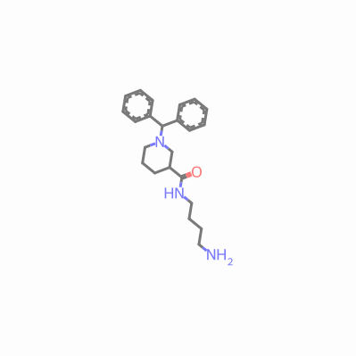 NCCCCNC(=O)C1CCCN(C(c2ccccc2)c2ccccc2)C1